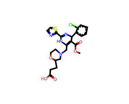 COC(=O)C1=C(CN2CCOC(CCC(=O)O)C2)NC(c2nccs2)=NC1c1ccccc1Cl